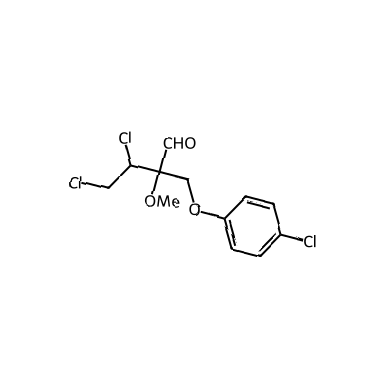 COC(C=O)(COc1ccc(Cl)cc1)C(Cl)CCl